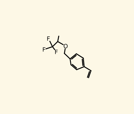 C=Cc1ccc(COC(C)C(F)(F)F)cc1